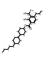 CCCCCC1CCC(C2CCC(OC(=O)c3ccc(CCC)c(C(F)F)c3F)CC2)CC1